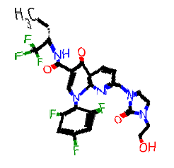 CC[C@H](NC(=O)c1cn(-c2c(F)cc(F)cc2F)c2nc(N3CCN(CCO)C3=O)ccc2c1=O)C(F)(F)F